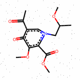 COC(=O)c1c(OC)c(=O)c(C(C)=O)cn1CC(C)OC